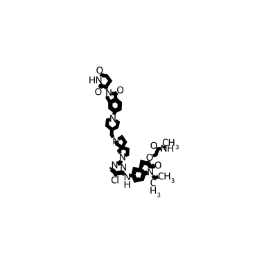 CNC(=O)COc1cc2cc(Nc3nc(N4CCC5(CCN(CC6CCN(c7ccc8c(c7)CN(C7CCC(=O)NC7=O)C8=O)CC6)C5)C4)ncc3Cl)ccc2n(C(C)C)c1=O